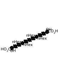 CCCCCCc1cc(-c2cc(C)c(-c3cc(C)c(-c4cc(C)c(-c5cc(CCCCCC)c(-c6cc(C)c(-c7cc(C)c(-c8ccc(C(=O)O)c(O)c8)cc7C)cc6C)cc5CCCCCC)cc4C)cc3C)cc2C)c(CCCCCC)cc1-c1cc(C)c(-c2cc(C)c(-c3ccc(C(=O)O)c(O)c3)cc2C)cc1C